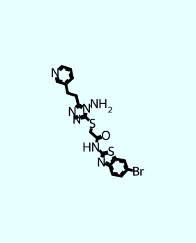 Nn1c(CCc2cccnc2)nnc1SCC(=O)Nc1nc2ccc(Br)cc2s1